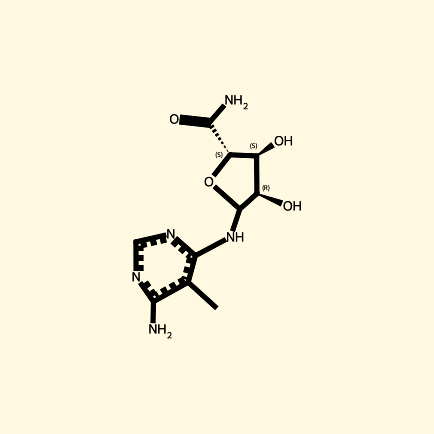 Cc1c(N)ncnc1NC1O[C@H](C(N)=O)[C@@H](O)[C@H]1O